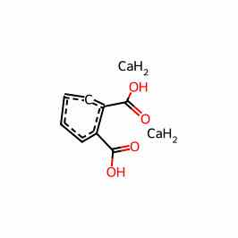 O=C(O)c1ccccc1C(=O)O.[CaH2].[CaH2]